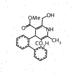 COC(=O)C1=C(CO)NC(C)=C(C(=O)O)C1c1ccccc1-c1ccccc1